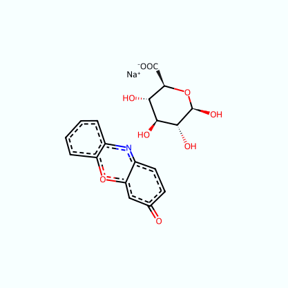 O=C([O-])[C@H]1O[C@@H](O)[C@H](O)[C@@H](O)[C@@H]1O.O=c1ccc2nc3ccccc3oc-2c1.[Na+]